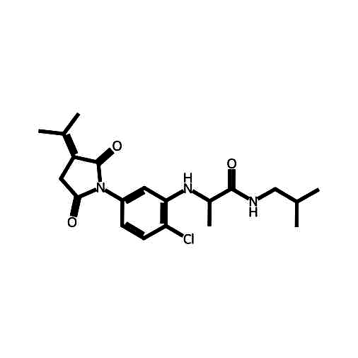 CC(C)=C1CC(=O)N(c2ccc(Cl)c(NC(C)C(=O)NCC(C)C)c2)C1=O